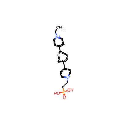 CC[n+]1ccc(-c2ccc(-c3cc[n+](CCP(=O)(O)O)cc3)cc2)cc1